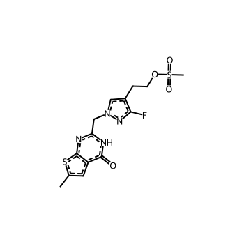 Cc1cc2c(=O)[nH]c(Cn3cc(CCOS(C)(=O)=O)c(F)n3)nc2s1